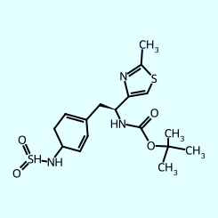 Cc1nc([C@H](CC2=CCC(N[SH](=O)=O)C=C2)NC(=O)OC(C)(C)C)cs1